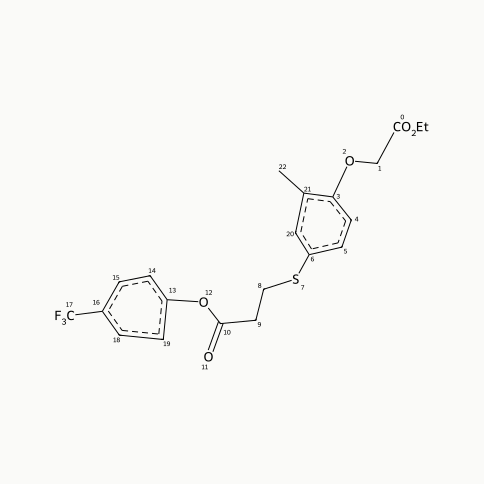 CCOC(=O)COc1ccc(SCCC(=O)Oc2ccc(C(F)(F)F)cc2)cc1C